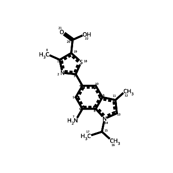 Cc1nc(-c2cc(N)c3c(c2)c(C)cn3C(C)C)sc1C(=O)O